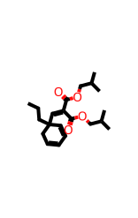 CCCC1(C=C(C(=O)OCC(C)C)C(=O)OCC(C)C)C=CC=CC1